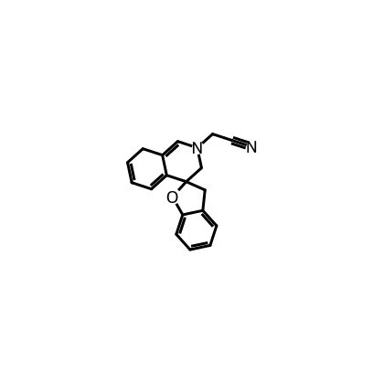 N#CCN1C=C2CC=CC=C2C2(Cc3ccccc3O2)C1